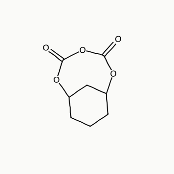 O=C1OC(=O)OC2CCCC(C2)O1